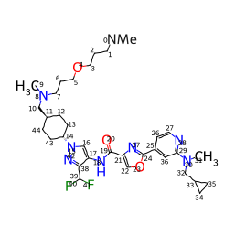 CNCCCOCCCN(C)C[C@H]1CC[C@H](n2cc(NC(=O)c3coc(-c4ccnc(N(C)CC5CC5)c4)n3)c(C(F)F)n2)CC1